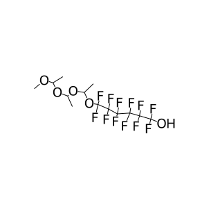 COC(C)OC(C)OC(C)OC(F)(F)C(F)(F)C(F)(F)C(F)(F)C(F)(F)C(O)(F)F